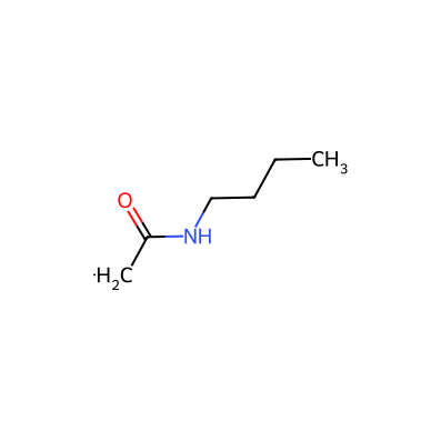 [CH2]C(=O)NCCCC